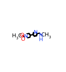 CNCc1ccc(C2=CCN(C(=O)OC)CC2)cn1